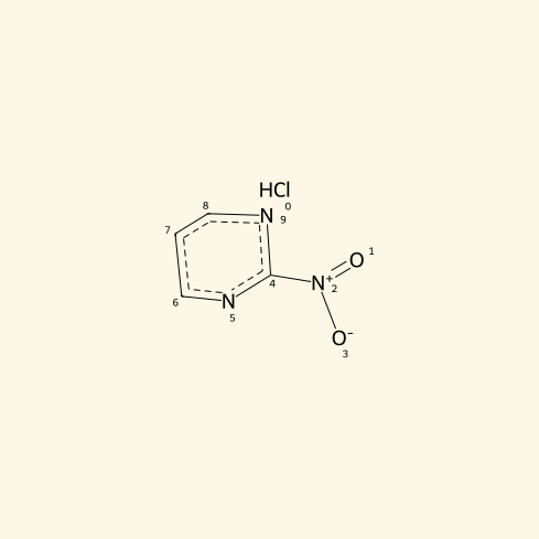 Cl.O=[N+]([O-])c1ncccn1